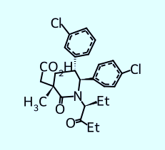 CCC(=O)[C@H](CC)N1C(=O)[C@](C)(CC(=O)O)C[C@H](c2cccc(Cl)c2)[C@H]1c1ccc(Cl)cc1